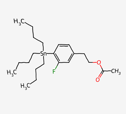 CCC[CH2][Sn]([CH2]CCC)([CH2]CCC)[c]1ccc(CCOC(C)=O)cc1F